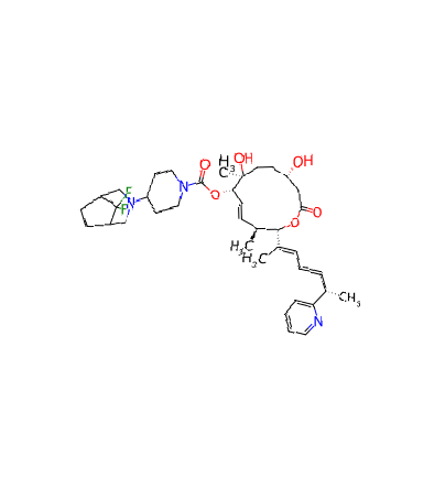 C/C(=C\C=C\[C@H](C)c1ccccn1)[C@H]1OC(=O)C[C@@H](O)CC[C@](C)(O)[C@@H](OC(=O)N2CCC(N3CC4CCC(C3)C4(F)F)CC2)/C=C/[C@@H]1C